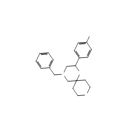 Cc1ccc(C2CN(Cc3ccccc3)CC3(CCNCC3)O2)cc1